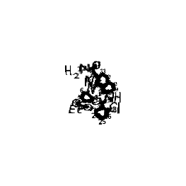 CCS(=O)(=O)c1ccc(-n2nc(C(N)=O)c3c2-c2cc(NC(=O)c4ccccc4Cl)ccc2CC3)cc1